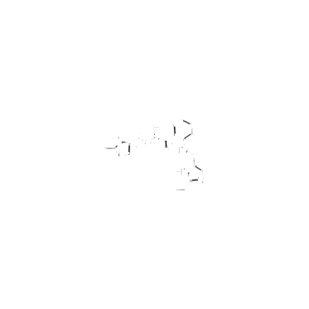 CCc1ncc(CNc2ccccc2C(=O)NOCc2csc(C)n2)[nH]1